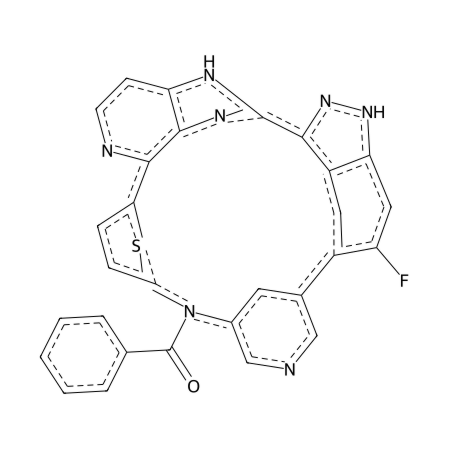 O=C(c1ccccc1)n1c2cncc(c2)c2cc3c(cc2F)[nH]nc3c2nc3c(ccnc3c3ccc1s3)[nH]2